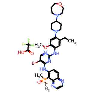 CCc1cc(Nc2ncc(Br)c(Nc3ccc4nccnc4c3P(C)(C)=O)n2)c(OC)cc1N1CCC(N2CCCOCC2)CC1.O=C(O)C(F)(F)F